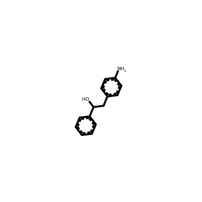 Nc1ccc(CC(O)c2ccccc2)cc1